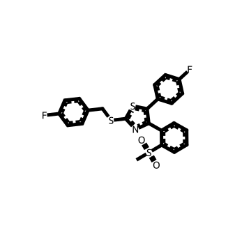 CS(=O)(=O)c1ccccc1-c1nc(SCc2ccc(F)cc2)sc1-c1ccc(F)cc1